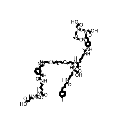 CN1CCN(CC(=O)O)CCN(CC(=O)O)CC(Cc2ccc(NC(=S)NCCCC[C@H](NC(=O)CCOCCOCCOCCn3cc(-c4cccc(NC(=O)NCCCC[C@H](NC(=O)NCCCC(=O)O)C(=O)O)c4)nn3)C(=O)N[C@@H](CCCCNC(=O)CCCc3ccc(I)cc3)C(=O)O)cc2)N(C)CC1